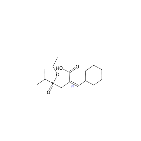 CCOP(=O)(C/C(=C/C1CCCCC1)C(=O)O)C(C)C